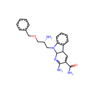 NC(=O)C1=CC2c3ccccc3N(C[C@@H](N)COCc3ccccc3)C2N=C1N